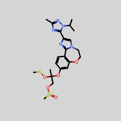 CSOC(C)(COS(C)=O)Oc1ccc2c(c1)OCCn1cc(-c3nc(C)nn3C(C)C)nc1-2